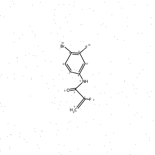 C=C(F)C(=O)Nc1ccc(Br)c(F)c1